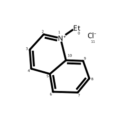 CC[n+]1cccc2ccccc21.[Cl-]